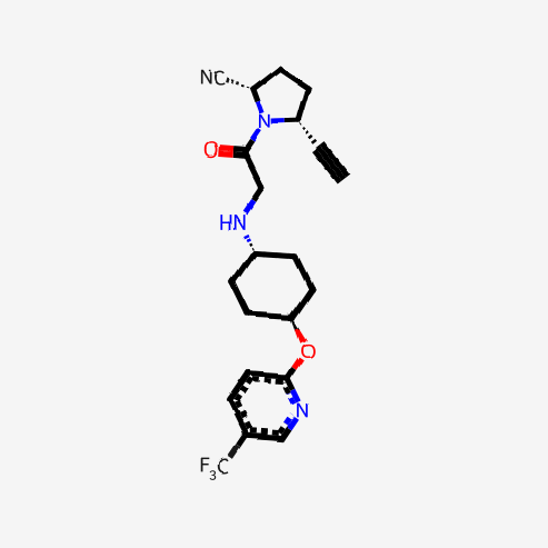 C#C[C@H]1CC[C@@H](C#N)N1C(=O)CN[C@H]1CC[C@H](Oc2ccc(C(F)(F)F)cn2)CC1